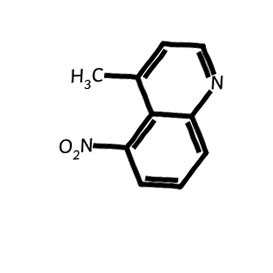 Cc1ccnc2cccc([N+](=O)[O-])c12